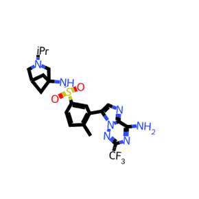 Cc1ccc(S(=O)(=O)NC23CC(CN(C(C)C)C2)C3)cc1-c1cnc2c(N)nc(C(F)(F)F)nn12